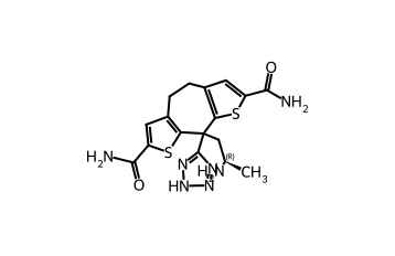 C[C@@H](N)CC1(c2nn[nH]n2)c2sc(C(N)=O)cc2CCc2cc(C(N)=O)sc21